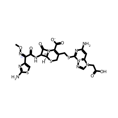 CO/N=C(\C(=O)NC1C(=O)N2C(C(=O)[O-])=C(CSc3nc(N)cc4n(CC(=O)O)cn[n+]34)CS[C@@H]12)c1csc(N)n1